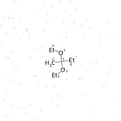 [CH2]CC(C)(OCC)OCC